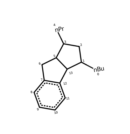 CCCCC1CC(CCC)C2Cc3ccccc3C12